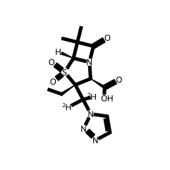 [2H]C([2H])(n1ccnn1)[C@@]1(CC)[C@H](C(=O)O)N2C(=O)C(C)(C)[C@H]2S1(=O)=O